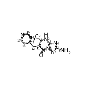 Cc1[nH]c2nc(N)nn2c(=O)c1Cc1ccncc1